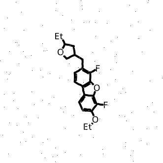 CCOc1ccc2c(oc3c(F)c(CC4COC(CC)C4)ccc32)c1F